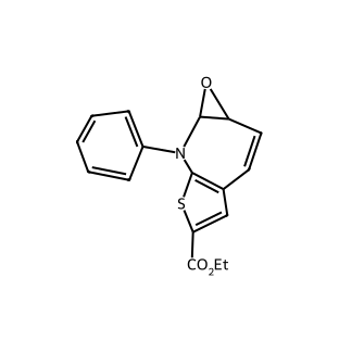 CCOC(=O)c1cc2c(s1)N(c1ccccc1)C1OC1C=C2